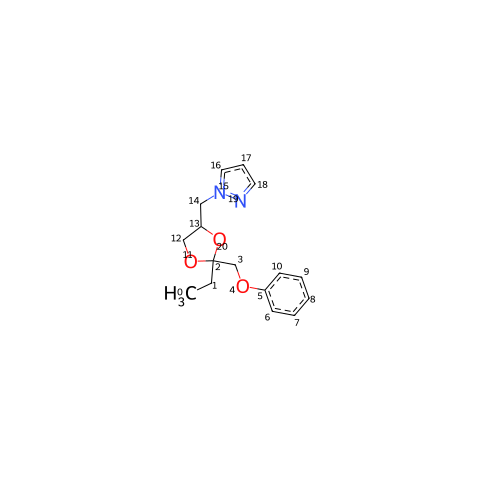 CCC1(COc2ccccc2)OCC(Cn2cccn2)O1